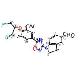 N#Cc1cc(-c2nc(N3CCc4cc(C=O)ccc43)no2)ccc1OC(CF)CF